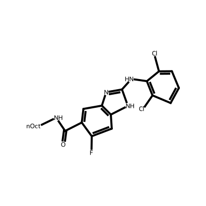 CCCCCCCCNC(=O)c1cc2nc(Nc3c(Cl)cccc3Cl)[nH]c2cc1F